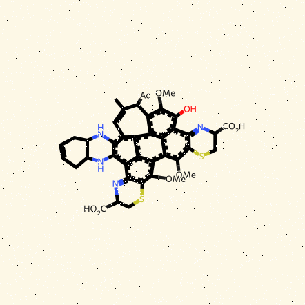 COc1c(O)c2c3c(c(OC)c4c5c(OC)c6c(c7c8c(c9c(c(c1C(C(C)=O)C(C)=C9)c24)c75)NC1CC=CCC1N8)=NC(C(=O)O)CS6)SCC(C(=O)O)N=3